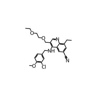 CCOCCOCc1cnc2c(CC)cc(C#N)cc2c1NCc1ccc(OC)c(Cl)c1